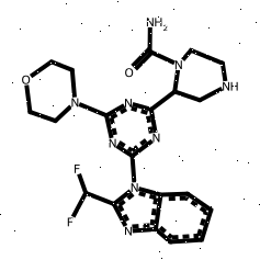 NC(=O)N1CCNCC1c1nc(N2CCOCC2)nc(-n2c(C(F)F)nc3ccccc32)n1